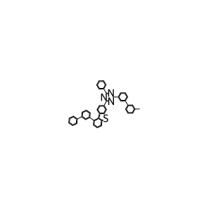 Cc1cccc(-c2cccc(-c3nc(-c4ccccc4)nc(-c4ccc5c(c4)sc4cccc(-c6cccc(-c7ccccc7)c6)c45)n3)c2)c1